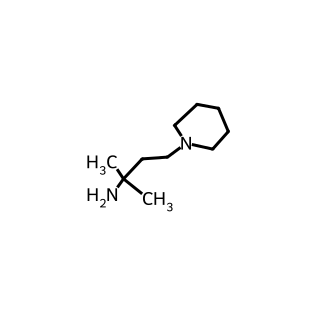 CC(C)(N)CCN1CCCCC1